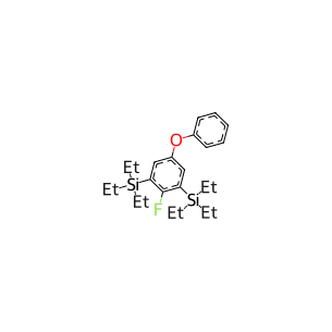 CC[Si](CC)(CC)c1cc(Oc2ccccc2)cc([Si](CC)(CC)CC)c1F